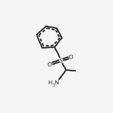 CC(N)S(=O)(=O)c1ccccc1